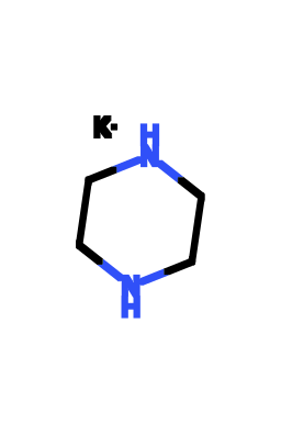 C1CNCCN1.[K]